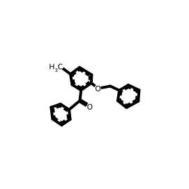 Cc1ccc(OCc2ccccc2)c(C(=O)c2ccccc2)c1